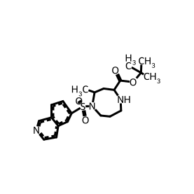 CC1CC(C(=O)OC(C)(C)C)NCCCN1S(=O)(=O)c1ccc2cnccc2c1